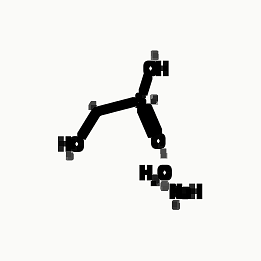 O.O=S(O)CO.[NaH]